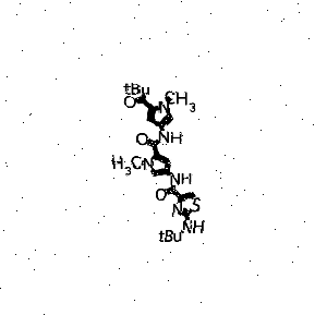 Cn1cc(NC(=O)c2csc(NC(C)(C)C)n2)cc1C(=O)Nc1cc(C(=O)C(C)(C)C)n(C)c1